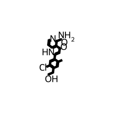 Cc1cc(CCO)c(Cl)cc1-c1cc(=O)c2c(C(N)=O)nccc2[nH]1